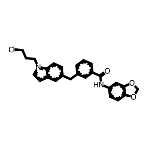 O=C(Nc1ccc2c(c1)OCO2)c1cccc(Cc2ccc3c(ccn3CCCCl)c2)c1